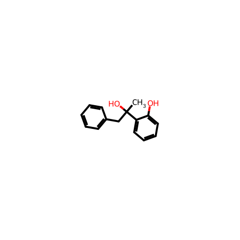 CC(O)(Cc1ccccc1)c1ccccc1O